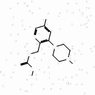 CN1CCN(c2cc(F)cnc2CNC(=O)OC(C)(C)C)CC1